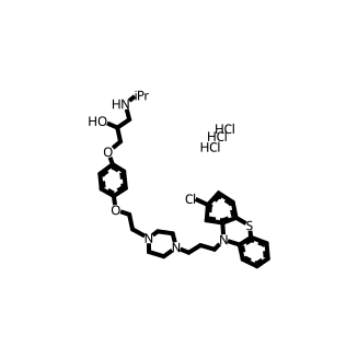 CC(C)NCC(O)COc1ccc(OCCN2CCN(CCCN3c4ccccc4Sc4ccc(Cl)cc43)CC2)cc1.Cl.Cl.Cl